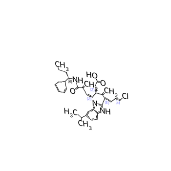 C=C(/C=C\C(=C\C(=O)O)C(=C)/C(=C\C=C\Cl)c1nc2cc(C(C)C)ccc2[nH]1)C(=O)N[C@H](CCC)C1C=CC=CC1